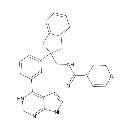 O=C(NCC1(c2cccc(C3=c4cc[nH]c4=NCN3)c2)Cc2ccccc2C1)N1C=COCC1